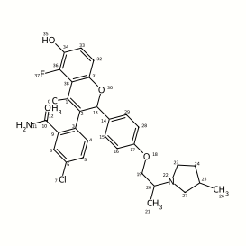 CC1=C(c2ccc(Cl)cc2C(N)=O)C(c2ccc(OCC(C)N3CCC(C)C3)cc2)Oc2ccc(O)c(F)c21